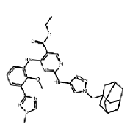 CCOC(=O)c1cnc(Nc2cnn(CC34CC5CC(CC(C5)C3)C4)c2)nc1Nc1cccc(-c2ncn(C)n2)c1OC